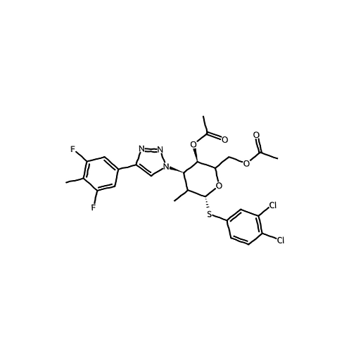 CC(=O)OCC1O[C@H](Sc2ccc(Cl)c(Cl)c2)C(C)[C@@H](n2cc(-c3cc(F)c(C)c(F)c3)nn2)[C@H]1OC(C)=O